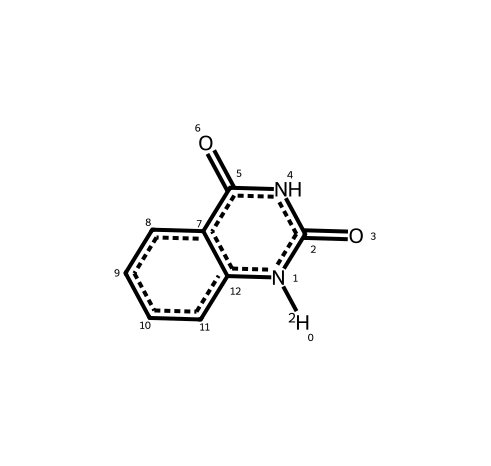 [2H]n1c(=O)[nH]c(=O)c2ccccc21